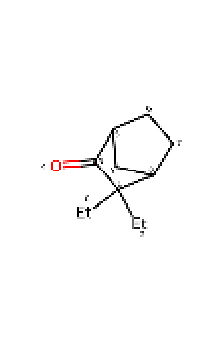 CCC1(CC)C(=O)C2CCC1C2